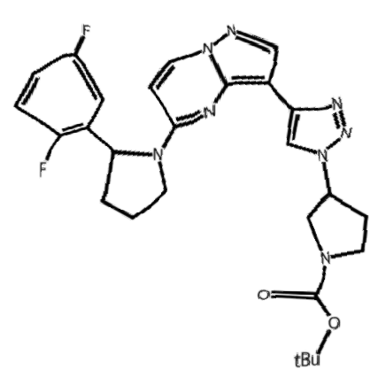 CC(C)(C)OC(=O)N1CCC(n2cc(-c3cnn4ccc(N5CCCC5c5cc(F)ccc5F)nc34)nn2)C1